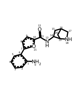 Nc1ccccc1-c1ccc(C(=O)NC2CC3CNC2C3)o1